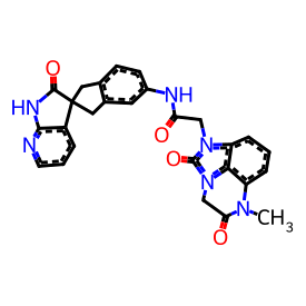 CN1C(=O)Cn2c(=O)n(CC(=O)Nc3ccc4c(c3)CC3(C4)C(=O)Nc4ncccc43)c3cccc1c32